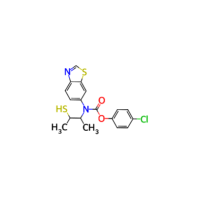 CC(S)C(C)N(C(=O)Oc1ccc(Cl)cc1)c1ccc2ncsc2c1